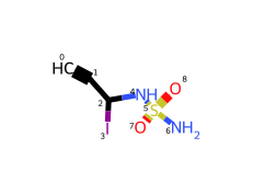 C#CC(I)NS(N)(=O)=O